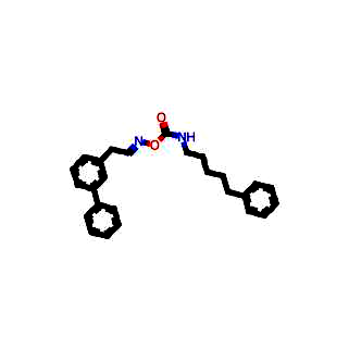 O=C(NCCCCCc1ccccc1)ON=CCc1cccc(-c2ccccc2)c1